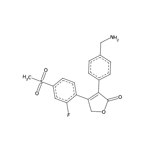 CS(=O)(=O)c1ccc(C2=C(c3ccc(CN)cc3)C(=O)OC2)c(F)c1